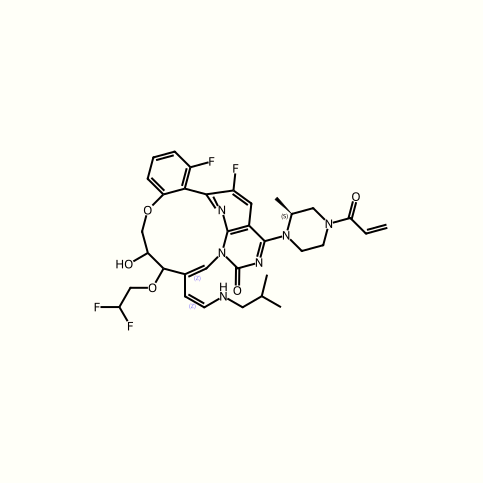 C=CC(=O)N1CCN(c2nc(=O)n3c4nc(c(F)cc24)-c2c(F)cccc2OCC(O)C(OCC(F)F)C(/C=C\NCC(C)C)=C\3)[C@@H](C)C1